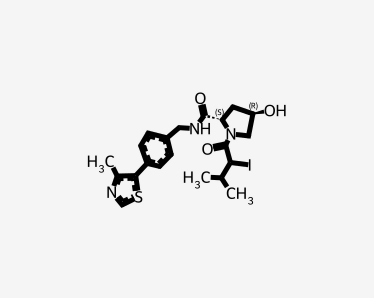 Cc1ncsc1-c1ccc(CNC(=O)[C@@H]2C[C@@H](O)CN2C(=O)C(I)C(C)C)cc1